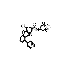 CC1(C)CC(NC(=O)C2=CC(Cl)=C(Oc3cccc(C4C=CN=NC4)c3C#N)CC2)CC(C)(C)N1